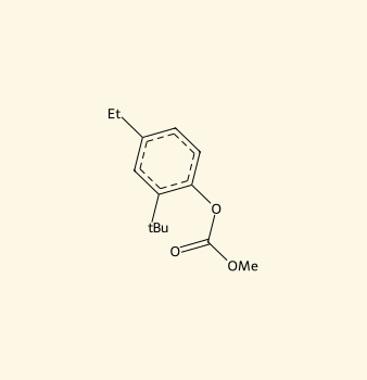 CCc1ccc(OC(=O)OC)c(C(C)(C)C)c1